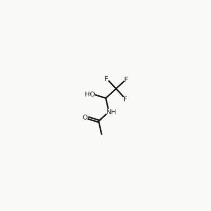 CC(=O)NC(O)C(F)(F)F